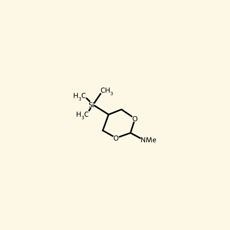 CNC1OCC([Si](C)(C)C)CO1